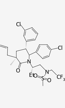 C=CC[C@@]1(C)C[C@H](c2cccc(Cl)c2)C(c2ccc(Cl)cc2)N([C@@H](CC)CN(CC(F)(F)F)S(C)(=O)=O)C1=O